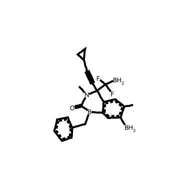 Bc1cc2c(cc1C)C(C#CC1CC1)(C(B)(F)F)N(C)C(=O)B2Cc1ccccc1